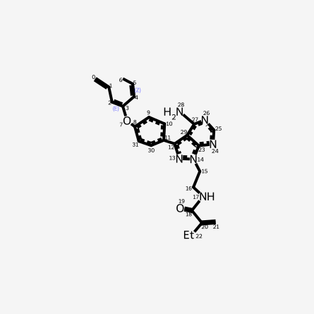 C=C/C=C(\C=C/C)Oc1ccc(-c2nn(CCNC(=O)C(=C)CC)c3ncnc(N)c23)cc1